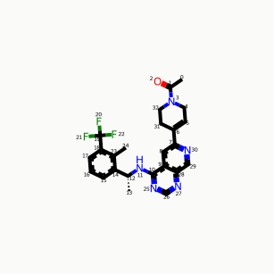 CC(=O)N1CC=C(c2cc3c(N[C@H](C)c4cccc(C(F)(F)F)c4C)ncnc3cn2)CC1